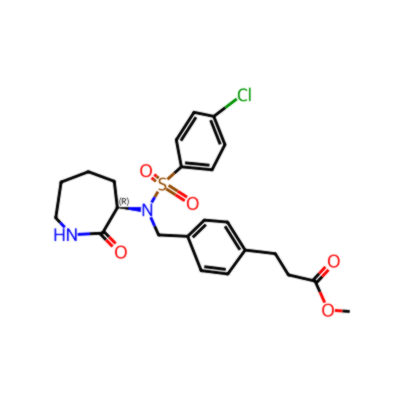 COC(=O)CCc1ccc(CN([C@@H]2CCCCNC2=O)S(=O)(=O)c2ccc(Cl)cc2)cc1